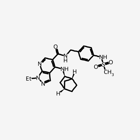 CCn1ncc2c(N[C@@H]3C[C@H]4CC[C@@H]3C4)c(C(=O)NCc3ccc(NS(C)(=O)=O)cc3)cnc21